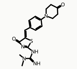 CN(C)C(=N)NC1=NC(=O)/C(=C/c2ccc(N3CCC(=O)CC3)cc2)S1